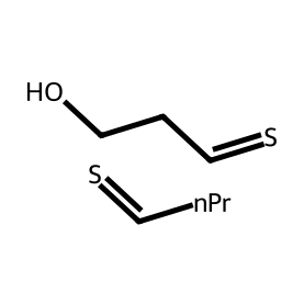 CCCC=S.OCCC=S